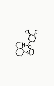 O=C(c1ccc(Cl)c(Cl)c1)N1CCCC2CCCC(N3CCCC3)C21